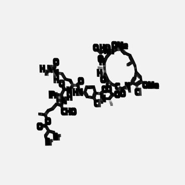 COc1cc2cc(c1Cl)N(C)C(=O)C[C@H](OC(=O)[C@H](C)N(C)C(=O)c1ccc(NC(=O)[C@H](CCCNC(N)=O)NC(=O)[C@@H](NC(C=O)CCCC(C)OC(=O)C(CBr)CBr)C(C)C)cc1Cl)[C@]1(C)O[C@H]1[C@H](C)[C@@H]1C[C@@](O)(NC(=O)O1)[C@H](OC)/C=C/C=C(\C)C2